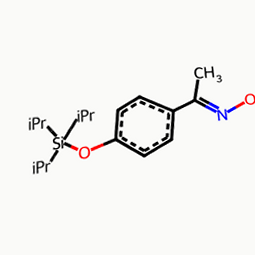 C/C(=N\O)c1ccc(O[Si](C(C)C)(C(C)C)C(C)C)cc1